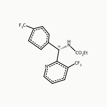 CCOC(=O)N[C@@H](c1ccc(C(F)(F)F)cc1)c1ncccc1C(F)(F)F